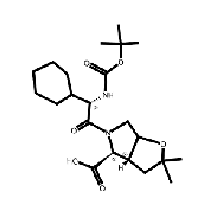 CC(C)(C)OC(=O)N[C@H](C(=O)N1CC2OC(C)(C)C[C@@H]2[C@H]1C(=O)O)C1CCCCC1